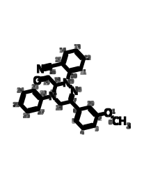 COc1cccc(C2=NN(c3ccccc3C#N)C(C=O)N(c3ccccc3)C2)c1